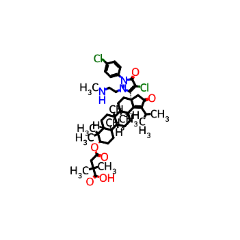 CNCCn1c([C@@]23CC[C@]4(C)[C@H](CC[C@H]5C4(C)CC[C@H]4C(C)(C)[C@@H](OC(=O)CC(C)(C)C(=O)O)CC[C@@]45C)C2=C(C(C)C)C(=O)C3)c(Cl)c(=O)n1-c1ccc(Cl)cc1